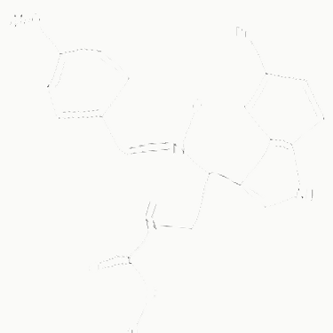 COc1ccc(C=[N+]([O-])C(CNC(=O)OC(C)(C)C)c2c[nH]c3ccc(Br)cc23)cc1